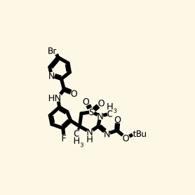 CN1/C(=N\C(=O)OC(C)(C)C)N[C@](C)(c2cc(NC(=O)c3ccc(Br)cn3)ccc2F)CS1(=O)=O